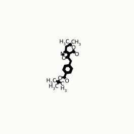 CC(C)(C)OC(=O)c1ccc(Cc2onc3c2C(=O)OC(C)(C)C3)cc1